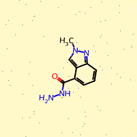 Cn1cc2c(C(=O)NN)cccc2n1